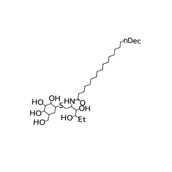 CCCCCCCCCCCCCCCCCCCCCCCCCC(=O)NC(CSC1CC(CO)C(O)C(O)C1O)C(O)C(O)CC